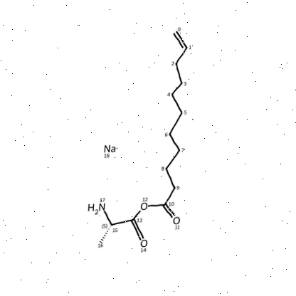 C=CCCCCCCCCC(=O)OC(=O)[C@H](C)N.[Na]